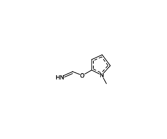 Cn1cccc1OC=N